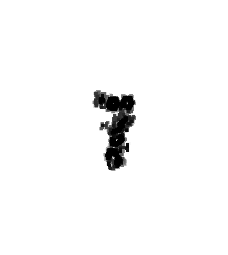 Cc1c(NC[C@H]2CCC[C@@H](c3ccc(OC(F)(F)F)cc3)O2)ncnc1C(=O)N1CCC(N[C@@H]2CCOC[C@@H]2F)CC1